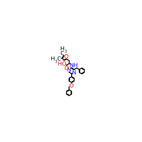 Cc1cc(CC(Nc2ncc(-c3ccc(OCc4ccccc4)cc3)nc2Cc2ccccc2)C(=O)O)oc1C